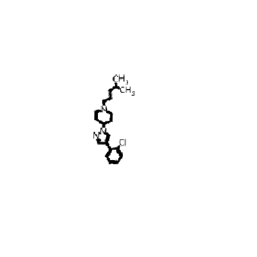 CC(C)CCCN1CCC(n2cc(-c3ccccc3Cl)cn2)CC1